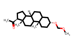 COCO[C@@H]1CC[C@@]2(C)C(CC[C@@H]3C2CC[C@@]2(C)C3CC[C@@H]2C(C)=O)C1